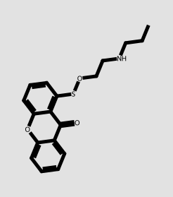 CCCNCCOSc1cccc2oc3ccccc3c(=O)c12